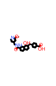 COc1cc(CNC(=O)c2ccc3ccc(Cc4ccc(C(=O)O)cc4)c(O)c3c2)ccn1